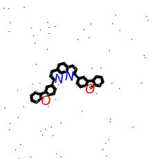 c1ccc2c(c1)oc1ccc(-c3ccc4ccc5ccc(-c6ccc7oc8ccccc8c7c6)nc5c4n3)cc12